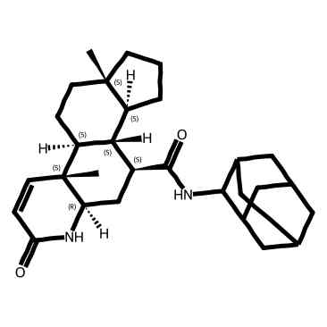 C[C@@]12CCC[C@H]1[C@@H]1[C@@H](C(=O)NC3C4CC5CC(C4)CC3C5)C[C@H]3NC(=O)C=C[C@]3(C)[C@H]1CC2